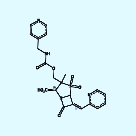 CC1(COC(=O)NCc2ccncc2)[C@H](C(=O)O)N2C(=O)/C(=C/c3ccccn3)C2S1(=O)=O